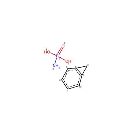 NP(=O)(O)O.c1ccc2c(c1)C2